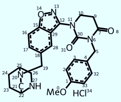 COc1ccc(CN2C(=O)CCN(c3noc4ccc(CN5CC6CCC5CN6)cc34)C2=O)cc1.Cl